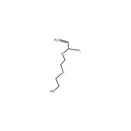 C=CC(C)OCCOCCO